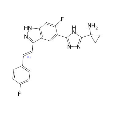 NC1(c2nnc(-c3cc4c(/C=C/c5ccc(F)cc5)n[nH]c4cc3F)[nH]2)CC1